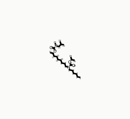 CCCCCCN(CCCCCCCC(C)OC(=O)N(C)CC(C)C)C(=O)OC(C)C